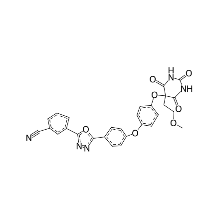 COCCC1(Oc2ccc(Oc3ccc(-c4nnc(-c5cccc(C#N)c5)o4)cc3)cc2)C(=O)NC(=O)NC1=O